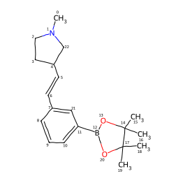 CN1CCC(C=Cc2cccc(B3OC(C)(C)C(C)(C)O3)c2)C1